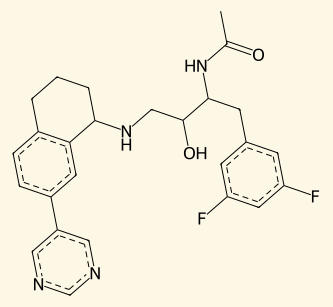 CC(=O)NC(Cc1cc(F)cc(F)c1)C(O)CNC1CCCc2ccc(-c3cncnc3)cc21